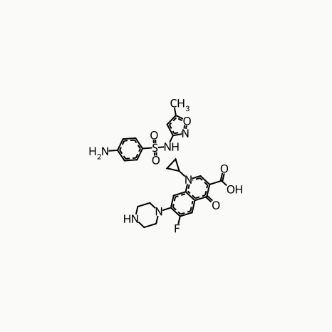 Cc1cc(NS(=O)(=O)c2ccc(N)cc2)no1.O=C(O)c1cn(C2CC2)c2cc(N3CCNCC3)c(F)cc2c1=O